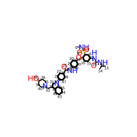 CNS(=O)(=O)c1cc(NC(=O)NC(C)C)ccc1Oc1ccc(NC(=O)c2ccc(-n3cc(CN4CCC(O)CC4)c4ccccc43)cc2)cc1